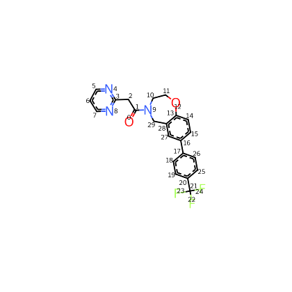 O=C(Cc1ncccn1)N1CCOc2ccc(-c3ccc(C(F)(F)F)cc3)cc2C1